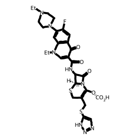 CCN1CCN(c2cc3c(cc2F)c(=O)c(C(=O)NC2C(=O)N4C(OC(=O)O)=C(CSc5cnn[nH]5)CS[C@@H]24)cn3CC)CC1